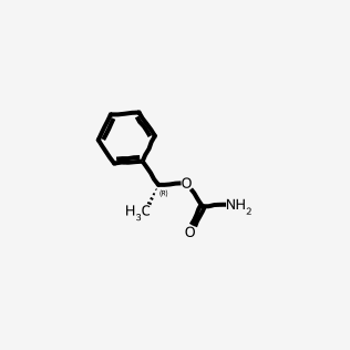 C[C@@H](OC(N)=O)c1ccccc1